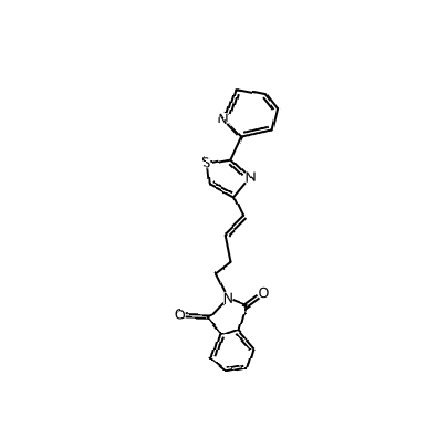 O=C1c2ccccc2C(=O)N1CCC=Cc1csc(-c2ccccn2)n1